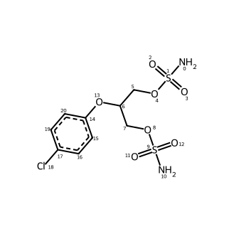 NS(=O)(=O)OCC(COS(N)(=O)=O)Oc1ccc(Cl)cc1